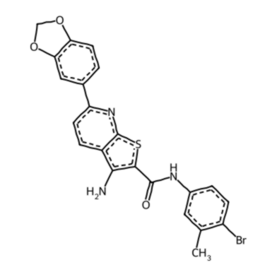 Cc1cc(NC(=O)c2sc3nc(-c4ccc5c(c4)OCO5)ccc3c2N)ccc1Br